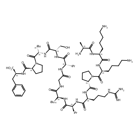 CC[C@H](C)[C@H](NC(=O)[C@@H](NC(=O)[C@H](CCCNC(=N)N)NC(=O)[C@@H]1CCCN1C(=O)[C@H](CCCCN)NC(=O)[C@H](CCCCN)NC(=O)[C@H](C)N)C(C)C)C(=O)NCC(=O)N[C@H](C(=O)N[C@@H](CO)C(=O)N[C@H](C(=O)N1CCC[C@H]1C(=O)N[C@@H](Cc1ccccc1)C(=O)O)[C@@H](C)CC)C(C)C